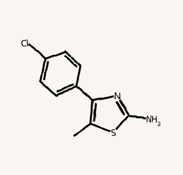 Cc1sc(N)nc1-c1ccc(Cl)cc1